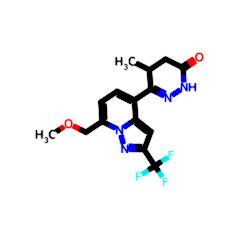 COCc1ccc(C2=NNC(=O)CC2C)c2cc(C(F)(F)F)nn12